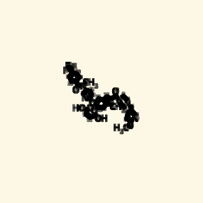 COc1ccc(CN2CCN(C(=O)c3cc4cc(Oc5ccc(N(C)C(=O)c6ccc(C(F)(F)F)cc6)cn5)ccc4n3C)CC2)cn1.O=C(O)/C=C\C(=O)O